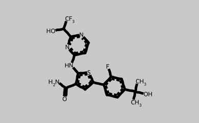 CC(C)(O)c1ccc(-c2cc(C(N)=O)c(Nc3ccnc(C(O)C(F)(F)F)n3)s2)c(F)c1